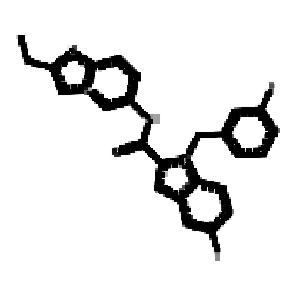 CCc1cn2cc(NC(=O)c3cc4cc(F)ccc4n3Cc3cccc(F)c3)ccc2n1